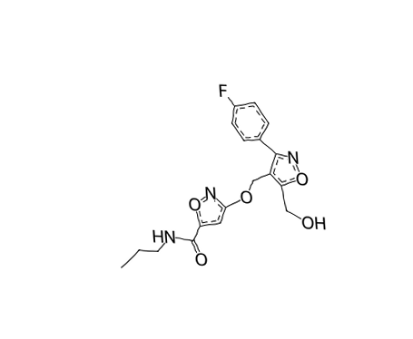 CCCNC(=O)c1cc(OCc2c(-c3ccc(F)cc3)noc2CO)no1